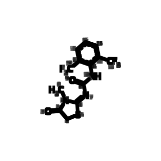 CN1C(=O)CSC1=NC(=O)Nc1c(C(F)(F)F)cccc1C(F)(F)F